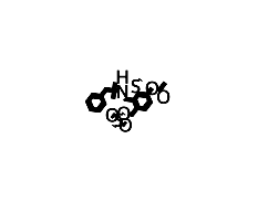 CSc1c(OC(C)=O)ccc(COS(C)(=O)=O)c1CNC(C)(C)Cc1ccccc1